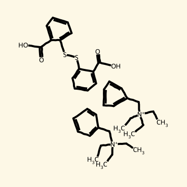 CC[N+](CC)(CC)Cc1ccccc1.CC[N+](CC)(CC)Cc1ccccc1.O=C(O)c1ccccc1SSc1ccccc1C(=O)O